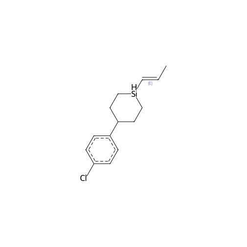 C/C=C/[SiH]1CCC(c2ccc(Cl)cc2)CC1